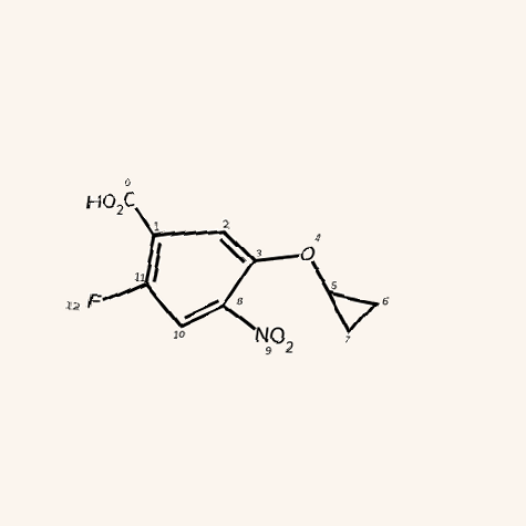 O=C(O)c1cc(OC2CC2)c([N+](=O)[O-])cc1F